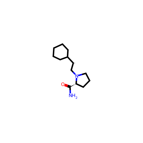 NC(=O)[C@H]1CCCN1C[CH]C1CCCCC1